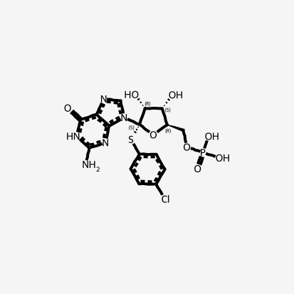 Nc1nc2c(ncn2[C@]2(Sc3ccc(Cl)cc3)O[C@H](COP(=O)(O)O)[C@@H](O)[C@H]2O)c(=O)[nH]1